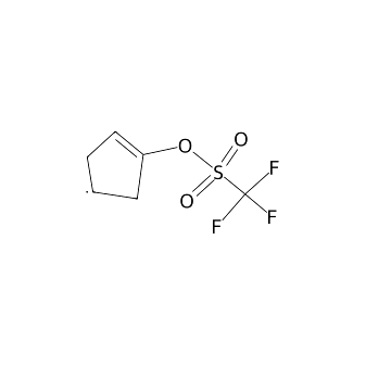 O=S(=O)(OC1=CC[CH]C1)C(F)(F)F